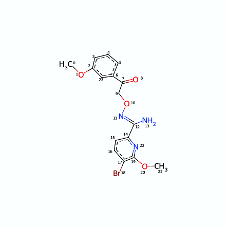 COc1cccc(C(=O)CO/N=C(\N)c2ccc(Br)c(OC)n2)c1